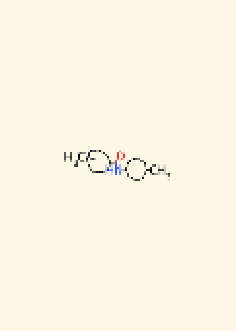 CC1CCCC(NC(=O)C2CCCCC(C)CCC2)CCC1